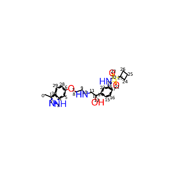 Cc1n[nH]c2cc(OCCNCC(O)c3cccc(NS(=O)(=O)C4CCC4)c3)ccc12